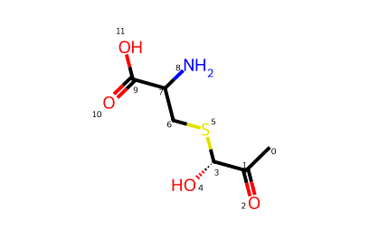 CC(=O)[C@H](O)SCC(N)C(=O)O